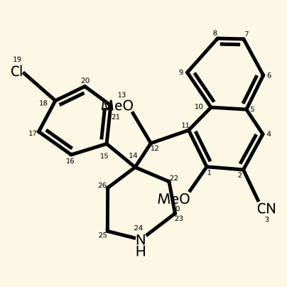 COc1c(C#N)cc2ccccc2c1C(OC)C1(c2ccc(Cl)cc2)CCNCC1